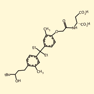 CCC(CC)(c1ccc(CCC(O)C(C)(C)C)c(C)c1)c1ccc(OCC(=O)N[C@H](CC(=O)O)C(=O)O)c(C)c1